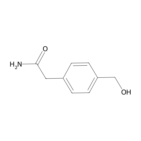 NC(=O)Cc1ccc(CO)cc1